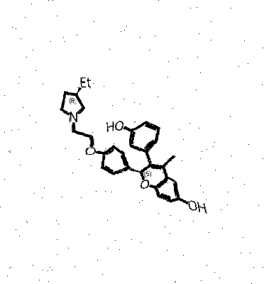 CC[C@@H]1CCN(CCOc2ccc([C@@H]3Oc4ccc(O)cc4C(C)=C3c3cccc(O)c3)cc2)C1